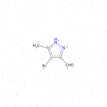 CC(=O)c1c(C=O)n[nH]c1C